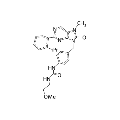 COCCNC(=O)Nc1ccc(Cn2c(=O)n(C)c3cnc(-c4ccccc4C(C)C)nc32)cc1